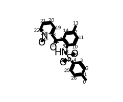 Cc1ccc(S(=O)(=O)Nc2ccc(C)cc2C(=O)c2cccc[n+]2[O-])cc1